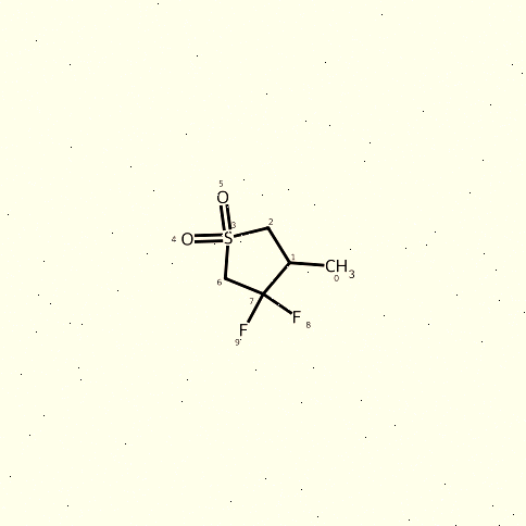 CC1CS(=O)(=O)CC1(F)F